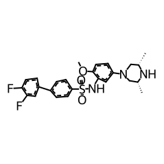 COc1ccc(N2C[C@@H](C)N[C@@H](C)C2)cc1NS(=O)(=O)c1ccc(-c2ccc(F)c(F)c2)cc1